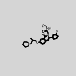 CC(COc1ccc2cc(-c3cccc(F)c3)n(CC(=O)NC(C)C)c(=O)c2c1)CN1CCCCC1